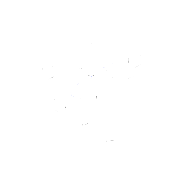 CCCCCCCCCCCCCCCCCCC1(CCCCCCCCCCCCCCCCC)\C(=C/C=C(C#N)/C=C/C2=[N+](CCC(=O)O)c3ccccc3C2(CC(C)=O)Cc2ccccc2)N(CCOC=O)c2c1ccc1ccccc21